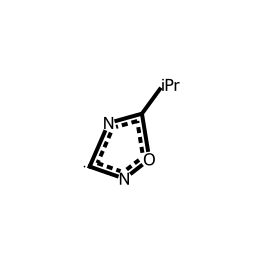 CC(C)c1n[c]no1